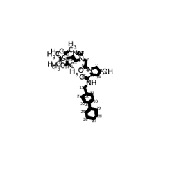 CC(C)[Si](c1cn(CC(=O)N2C[C@H](O)C[C@H]2C(=O)NCc2ccc(-c3ccccc3)cc2)nn1)(C(C)C)C(C)C